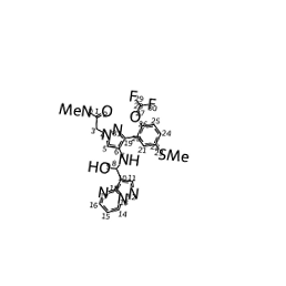 CNC(=O)Cn1cc(NC(O)c2cnn3cccnc23)c(-c2cc(SC)ccc2OC(F)F)n1